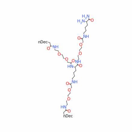 CCCCCCCCCCCC(=O)NCCOCCOCC(=O)NCCCCC(NC(=O)COCCOCCNC(=O)CCCCCCCCCCC)C(=O)NCCOCCOCC(=O)NCCCCC(N)C(N)=O